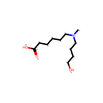 CN(CCCCO)CCCCCC(=O)O